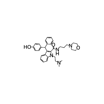 CN(C)CCn1c(C(=O)NCCCN2CCOCC2)c(C(c2ccccc2)c2ccc(O)cc2)c2ccccc21